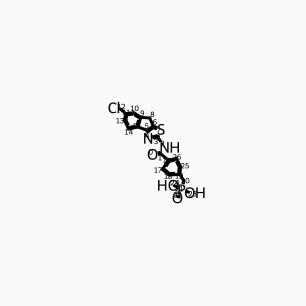 O=C(Nc1nc2c(s1)Cc1cc(Cl)ccc1-2)c1ccc(CP(=O)(O)O)cc1